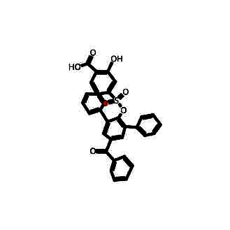 O=C(c1ccccc1)c1cc(-c2ccccc2)c(OS(=O)(=O)c2ccc(C(=O)O)c(O)c2)c(-c2ccccc2)c1